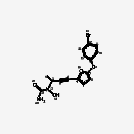 CC(C#Cc1ccc(Oc2ccc(Br)cc2)o1)N(O)C(N)=O